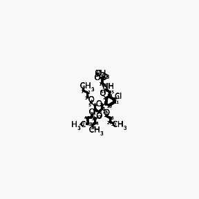 CCCCOC[C@H]1O[C@@H](c2ccc(Cl)c(CC(=O)NCC(=O)OC)c2)[C@H](OCCCC)[C@@H](OCCCC)[C@@H]1OCCCC